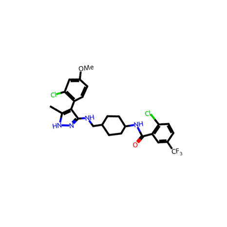 COc1ccc(-c2c(NCC3CCC(NC(=O)c4cc(C(F)(F)F)ccc4Cl)CC3)n[nH]c2C)c(Cl)c1